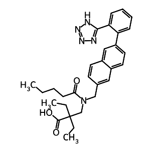 CCCCC(=O)N(Cc1ccc2cc(-c3ccccc3-c3nnn[nH]3)ccc2c1)CC(CC)(CC)C(=O)O